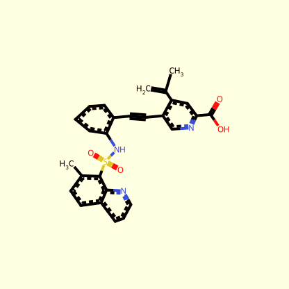 C=C(C)c1cc(C(=O)O)ncc1C#Cc1ccccc1NS(=O)(=O)c1c(C)ccc2cccnc12